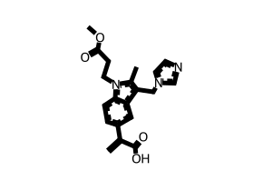 C=C(C(=O)O)c1ccc2c(c1)c(Cn1ccnc1)c(C)n2CCC(=O)OC